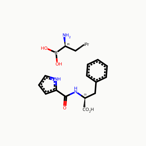 CC(C)C[C@H](N)B(O)O.O=C(N[C@@H](Cc1ccccc1)C(=O)O)c1ccc[nH]1